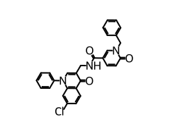 O=C(NCc1cn(-c2ccccc2)c2cc(Cl)ccc2c1=O)c1ccc(=O)n(Cc2ccccc2)c1